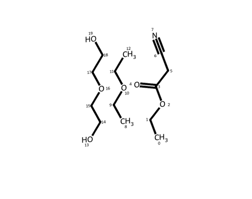 CCOC(=O)CC#N.CCOCC.OCCOCCO